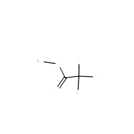 CCCCOC(=O)C(F)(F)C(C)=O